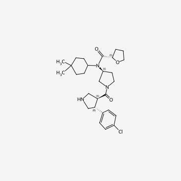 CC1(C)CCC(N(C(=O)[C@@H]2CCCO2)[C@H]2CCN(C(=O)[C@@H]3CNC[C@H]3c3ccc(Cl)cc3)C2)CC1